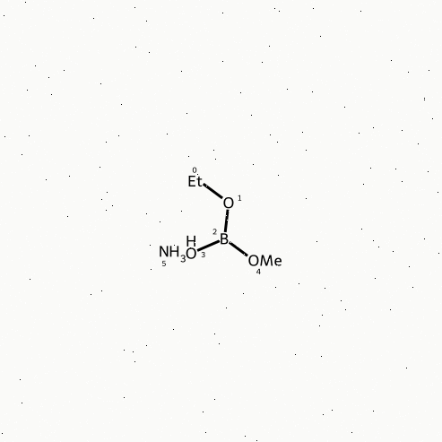 CCOB(O)OC.N